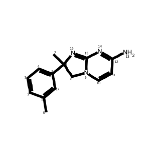 Cc1cccc(C2(C)CN3C=CC(N)=NC3=N2)c1